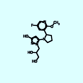 COc1ncc(F)cc1C1CCCN1c1cc(O)nn1CC(O)CO